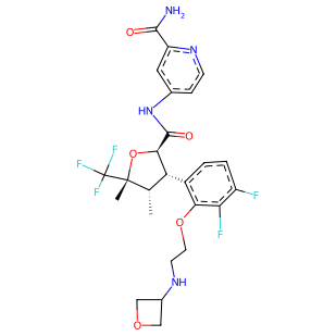 C[C@H]1[C@@H](c2ccc(F)c(F)c2OCCNC2COC2)[C@H](C(=O)Nc2ccnc(C(N)=O)c2)O[C@@]1(C)C(F)(F)F